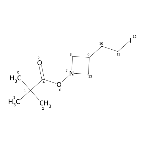 CC(C)(C)C(=O)ON1CC(CCI)C1